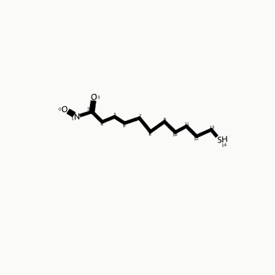 O=NC(=O)CCCCCCCCCCS